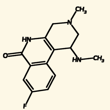 CNC1CN(C)Cc2[nH]c(=O)c3cc(F)ccc3c21